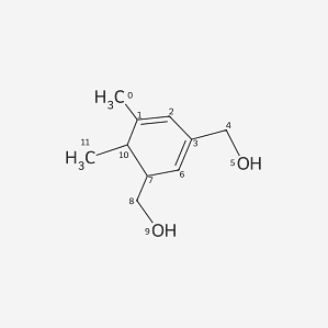 CC1=CC(CO)=CC(CO)C1C